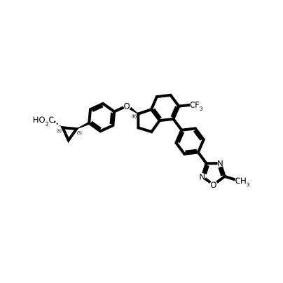 Cc1nc(-c2ccc(C3=C(C(F)(F)F)CCC4=C3CC[C@H]4Oc3ccc([C@H]4C[C@@H]4C(=O)O)cc3)cc2)no1